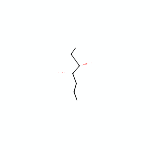 CCC[C@H](O)[C@H](O)CC